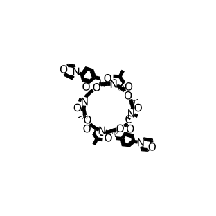 CC(C)C[C@H]1C(=O)O[C@H](C)C(=O)N(C)CC(=O)O[C@H](Cc2ccc(N3CCOCC3)cc2)C(=O)N(C)[C@@H](CC(C)C)C(=O)O[C@H](C)C(=O)N(C)CC(=O)O[C@H](Cc2ccc(N3CCOCC3)cc2)C(=O)N1C